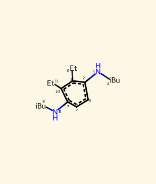 CCc1c(NC(C)CC)ccc(NC(C)CC)c1CC